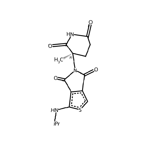 CC(C)Nc1scc2c1C(=O)N([C@]1(C)CCC(=O)NC1=O)C2=O